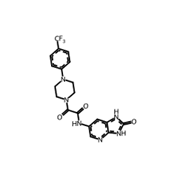 O=C(Nc1cnc2[nH]c(=O)[nH]c2c1)C(=O)N1CCN(c2ccc(C(F)(F)F)cc2)CC1